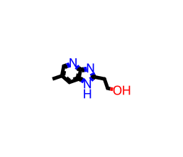 Cc1cnc2nc(CCO)[nH]c2c1